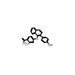 C=C(C(=O)O)c1ccc(Oc2c(-c3ccc(O)cc3)ccc3ccccc23)cc1